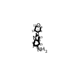 Nc1ccc2nn(C3CCOCC3)cc2c1